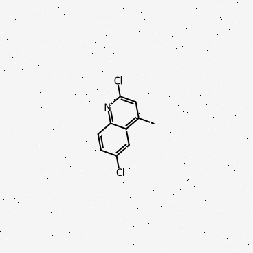 Cc1cc(Cl)nc2ccc(Cl)cc12